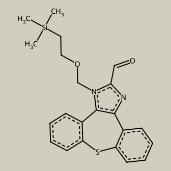 C[Si](C)(C)CCOCn1c(C=O)nc2c1-c1ccccc1Sc1ccccc1-2